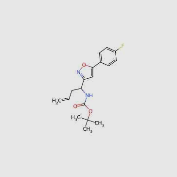 C=CCC(NC(=O)OC(C)(C)C)c1cc(-c2ccc(F)cc2)on1